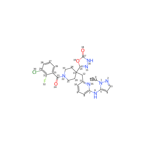 CC(C)(C)n1nccc1Nc1cccc(CC2(c3n[nH]c(=O)o3)CCN(C(=O)c3cccc(Cl)c3F)CC2)n1